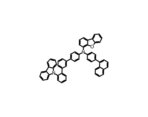 c1cc(-c2ccc(N(c3ccc(-c4cccc5ccccc45)cc3)c3cccc4c3oc3ccccc34)cc2)cc(-c2ccccc2-n2c3ccccc3c3ccccc32)c1